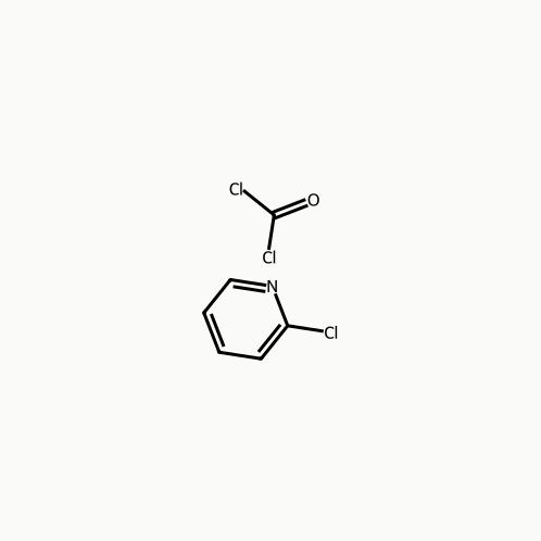 Clc1ccccn1.O=C(Cl)Cl